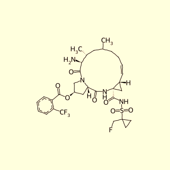 CC1CCC=C[C@@H]2C[C@@]2(C(=O)NS(=O)(=O)C2(CF)CC2)NC(=O)[C@@H]2C[C@@H](OC(=O)c3ccccc3C(F)(F)F)CN2C(=O)[C@@H](N)[C@H](C)C1